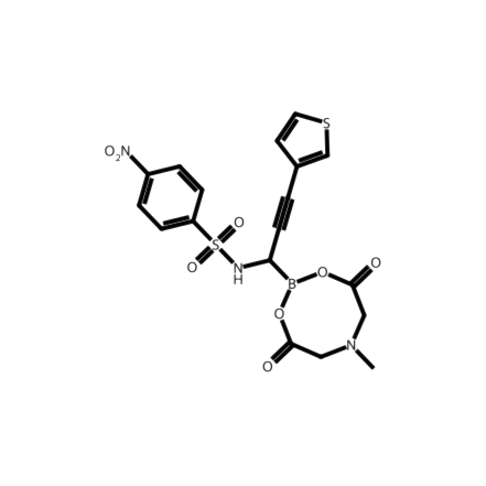 CN1CC(=O)OB(C(C#Cc2ccsc2)NS(=O)(=O)c2ccc([N+](=O)[O-])cc2)OC(=O)C1